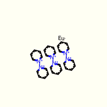 [Eu].c1cc[n+](-[n+]2ccccc2)cc1.c1cc[n+](-[n+]2ccccc2)cc1.c1cc[n+](-[n+]2ccccc2)cc1